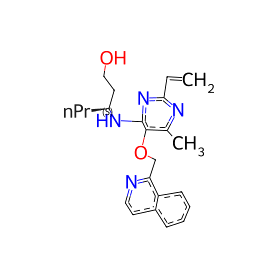 C=Cc1nc(C)c(OCc2nccc3ccccc23)c(N[C@@H](CCC)CCO)n1